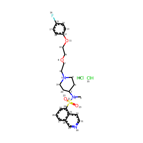 CN(C1CCN(CCOCCOc2ccc(F)cc2)CC1)S(=O)(=O)c1cccc2cnccc12.Cl.Cl